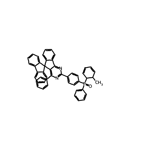 CC1C=CC=CC1P(=O)(c1ccccc1)c1ccc(-c2nc(-c3ccccc3)c3c(n2)-c2ccccc2C32c3ccccc3-c3ccccc32)cc1